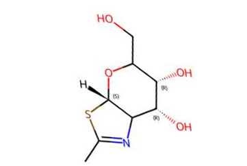 CC1=NC2[C@@H](O)[C@@H](O)C(CO)O[C@H]2S1